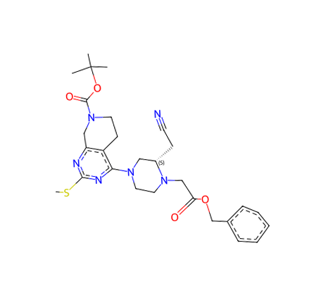 CSc1nc2c(c(N3CCN(CC(=O)OCc4ccccc4)[C@@H](CC#N)C3)n1)CCN(C(=O)OC(C)(C)C)C2